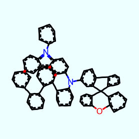 c1ccc(-c2ccccc2-c2ccccc2-c2ccccc2N(c2ccc3c(c2)C2(c4ccccc4Oc4ccccc42)c2ccccc2-3)c2ccc3c(c2)c2ccccc2n3-c2ccccc2)cc1